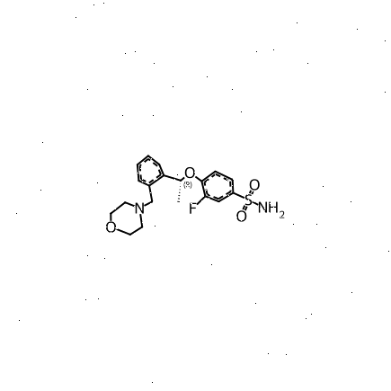 C[C@@H](Oc1ccc(S(N)(=O)=O)cc1F)c1ccccc1CN1CCOCC1